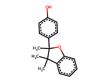 CC1(C)c2ccccc2OC1(C)c1ccc(O)cc1